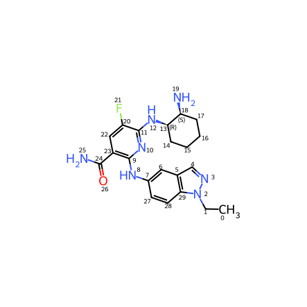 CCn1ncc2cc(Nc3nc(N[C@@H]4CCCC[C@@H]4N)c(F)cc3C(N)=O)ccc21